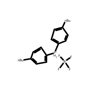 CCCCc1ccc([PH2+]c2ccc(CCCC)cc2)cc1.F[B-](F)(F)F